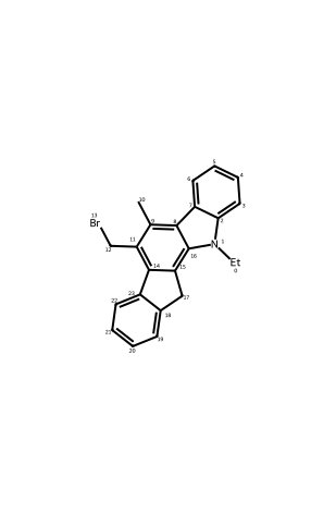 CCn1c2ccccc2c2c(C)c(CBr)c3c(c21)Cc1ccccc1-3